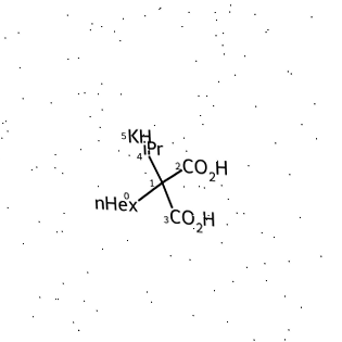 CCCCCCC(C(=O)O)(C(=O)O)C(C)C.[KH]